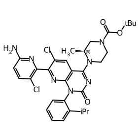 CC(C)c1ccccc1-n1c(=O)nc(N2CCN(C(=O)OC(C)(C)C)C[C@@H]2C)c2cc(Cl)c(-c3nc(N)ccc3Cl)nc21